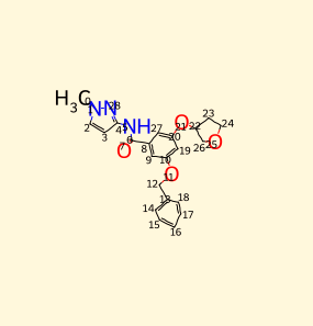 Cn1ccc(NC(=O)c2cc(OCc3ccccc3)cc(OC3CCOC3)c2)n1